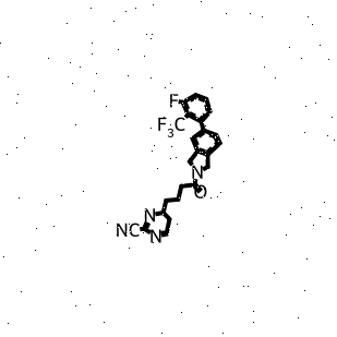 N#CC1=NC(CCCC(=O)N2Cc3ccc(-c4cccc(F)c4C(F)(F)F)cc3C2)CC=N1